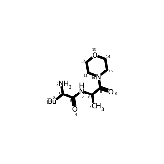 CCC(C)C(N)C(=O)NC(C)C(=O)N1CCOCC1